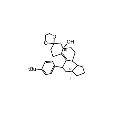 CC(C)(C)c1ccc(C2C[C@]3(C)CCCC3C3CC[C@@]4(O)CC5(CCC4=C23)OCCO5)cc1